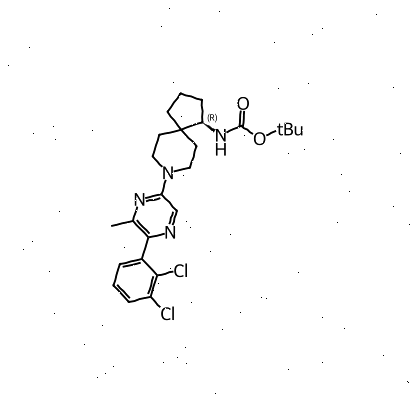 Cc1nc(N2CCC3(CCC[C@H]3NC(=O)OC(C)(C)C)CC2)cnc1-c1cccc(Cl)c1Cl